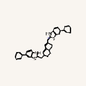 C1=C(/C=C2/Nc3ccc(-c4ccccc4)cc3S2)CCC2CCC(CC3Nc4ccc(-c5ccccc5)cc4S3)C=C12